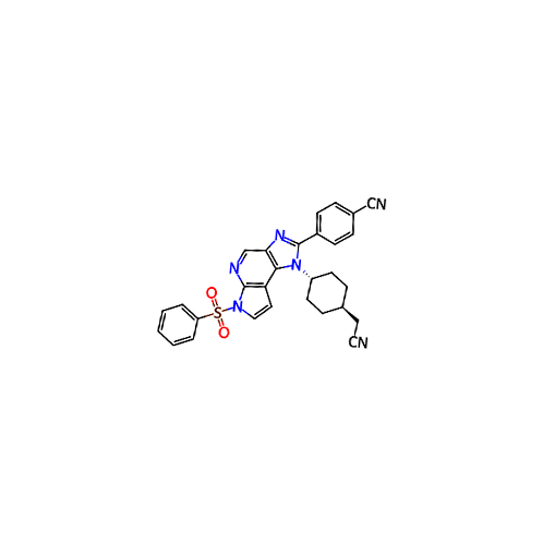 N#CC[C@H]1CC[C@H](n2c(-c3ccc(C#N)cc3)nc3cnc4c(ccn4S(=O)(=O)c4ccccc4)c32)CC1